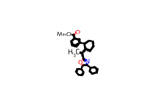 COC(=O)c1cccc(C2=CCCCC2C(C)c2nc(-c3ccccc3)c(-c3ccccc3)o2)c1